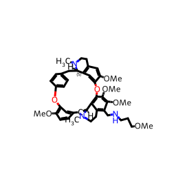 COCCCNCc1c2c3c(c(OC)c1OC)Oc1cc4c(cc1OC)CCN(C)[C@H]4Cc1ccc(cc1)Oc1cc(ccc1OC)C[C@@H]3N(C)CC2